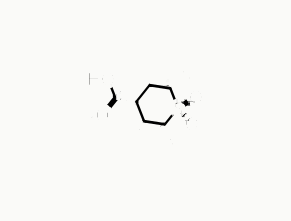 C[C@@H]1C[C@H](C(=O)O)C[C@H](C)S1(=O)=O